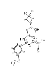 O=C(C[C@@H](O)C1CC(F)(F)C1)N[C@@H](COC(F)F)c1cccc(OC(F)(F)F)c1